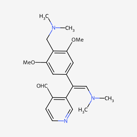 COc1cc(/C(=C/N(C)C)c2cnccc2C=O)cc(OC)c1CN(C)C